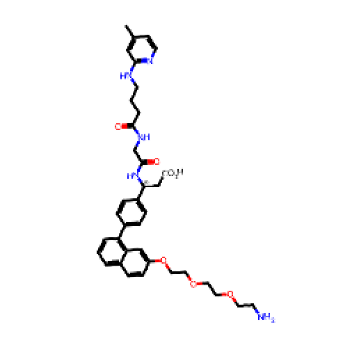 Cc1ccnc(NCCCC(=O)NCC(=O)N[C@@H](CC(=O)O)c2ccc(-c3cccc4ccc(OCCOCCOCCN)cc34)cc2)c1